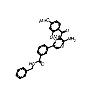 COc1ccc(C(=O)c2nc(-c3cccc(C(=O)NCc4ccccc4)c3)cnc2N)c(OC)c1